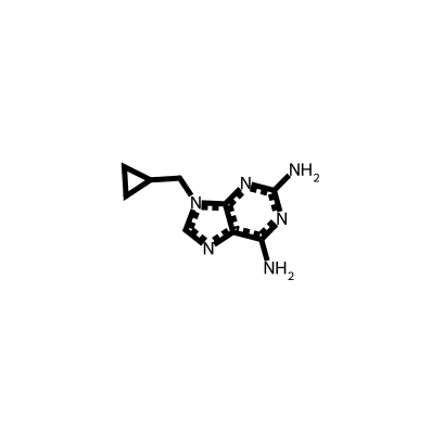 Nc1nc(N)c2ncn(CC3CC3)c2n1